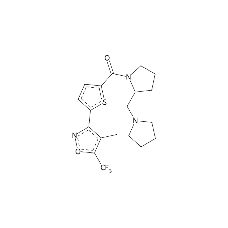 Cc1c(-c2ccc(C(=O)N3CCCC3CN3CCCC3)s2)noc1C(F)(F)F